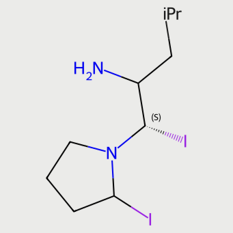 CC(C)CC(N)[C@H](I)N1CCCC1I